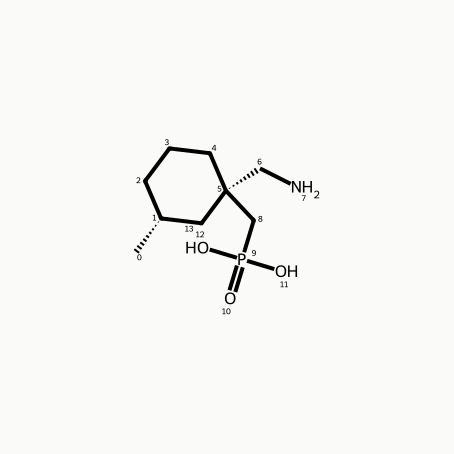 C[C@@H]1CCC[C@@](CN)(CP(=O)(O)O)C1